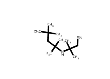 CC(C)(C)CC(C)(C)NC(C)(C)CC(C)(C)C=O